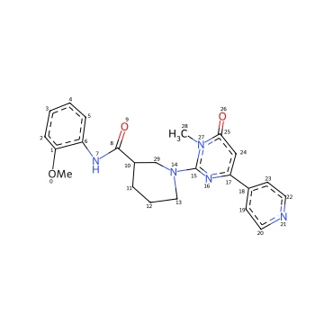 COc1ccccc1NC(=O)C1CCCN(c2nc(-c3ccncc3)cc(=O)n2C)C1